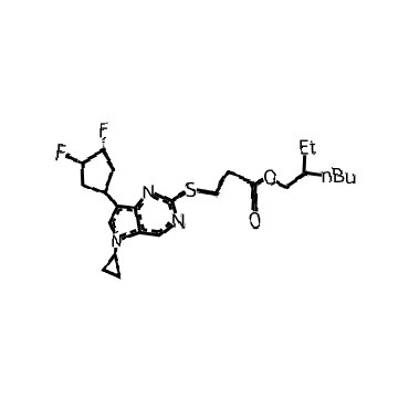 CCCCC(CC)COC(=O)CCSc1ncc2c(n1)c(C1C[C@@H](F)[C@H](F)C1)cn2C1CC1